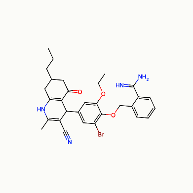 CCCC1CC(=O)C2=C(C1)NC(C)=C(C#N)C2c1cc(Br)c(OCc2ccccc2C(=N)N)c(OCC)c1